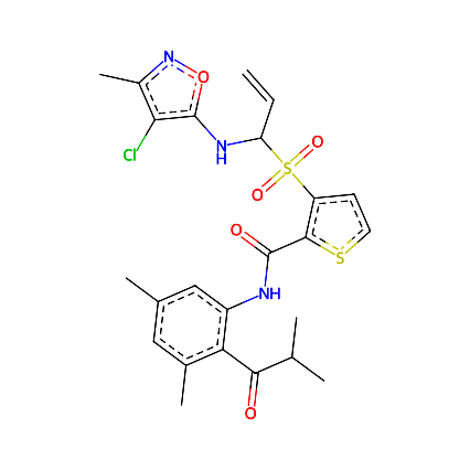 C=CC(Nc1onc(C)c1Cl)S(=O)(=O)c1ccsc1C(=O)Nc1cc(C)cc(C)c1C(=O)C(C)C